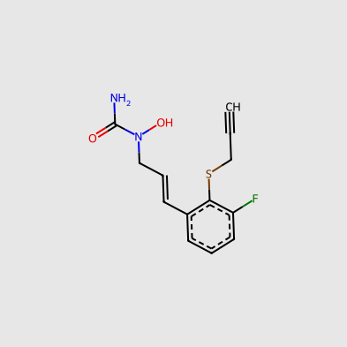 C#CCSc1c(F)cccc1C=CCN(O)C(N)=O